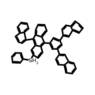 c1ccc([SiH2]c2ccc3c(-c4cc(-c5ccc6ccccc6c5)cc(-c5ccc6ccccc6c5)c4)c4ccccc4c(-c4cccc5ccccc45)c3c2)cc1